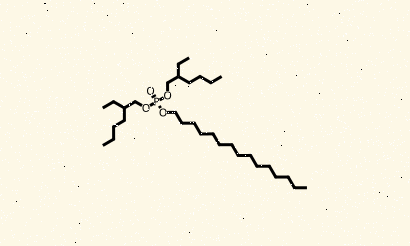 CCCCCCCCCCCCCCCOP(=O)(OCC(CC)CCCC)OCC(CC)CCCC